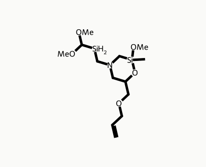 C=CCOCC1CN(C[SiH2]C(OC)OC)C[Si](C)(OC)O1